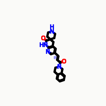 O=C(/C=C/c1cnc2c(c1)CC1(CCNCC1)C(=O)N2)N1CCc2ccccc2C1